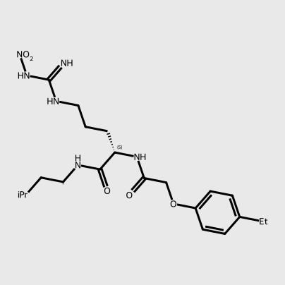 CCc1ccc(OCC(=O)N[C@@H](CCCNC(=N)N[N+](=O)[O-])C(=O)N[CH]CC(C)C)cc1